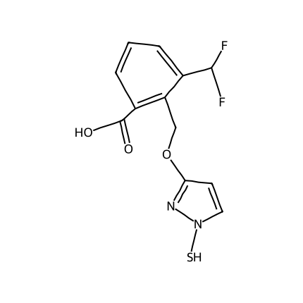 O=C(O)c1cccc(C(F)F)c1COc1ccn(S)n1